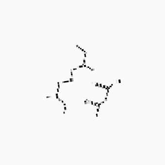 CC(=O)CC(=O)O.CCC(C)[O][Al][O]C(C)CC